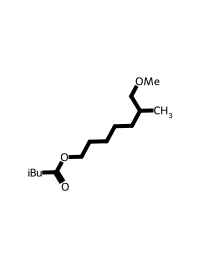 CCC(C)C(=O)OCCCCCC(C)COC